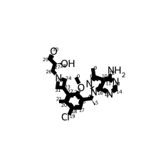 COc1c([C@@H](C)n2nc(C)c3c(N)ncnc32)cc(Cl)c(C)c1C1CN(C[C@@H](O)C=O)C1